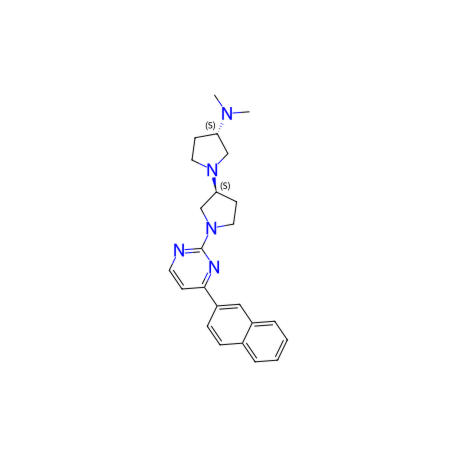 CN(C)[C@H]1CCN([C@H]2CCN(c3nccc(-c4ccc5ccccc5c4)n3)C2)C1